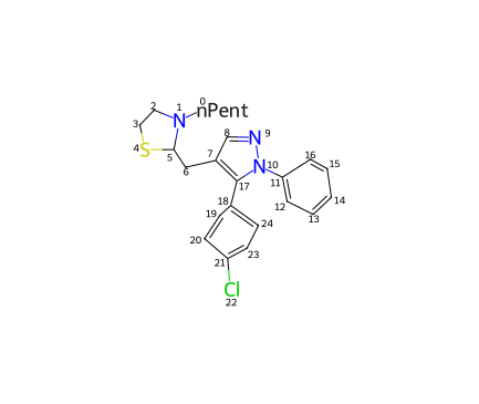 CCCCCN1CCSC1Cc1cnn(-c2ccccc2)c1-c1ccc(Cl)cc1